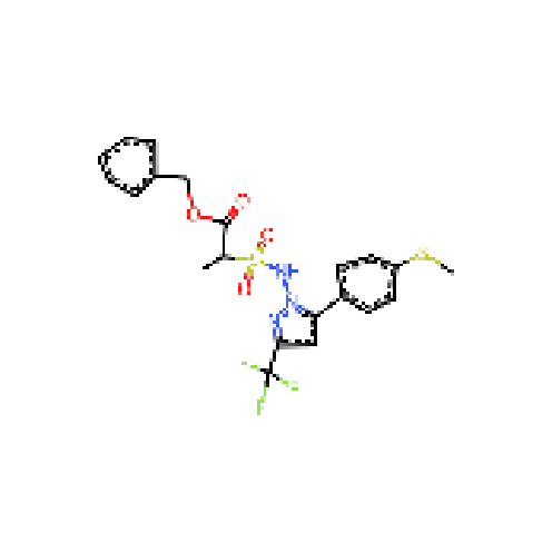 CSc1ccc(-c2cc(C(F)(F)F)nn2NS(=O)(=O)C(C)C(=O)OCc2ccccc2)cc1